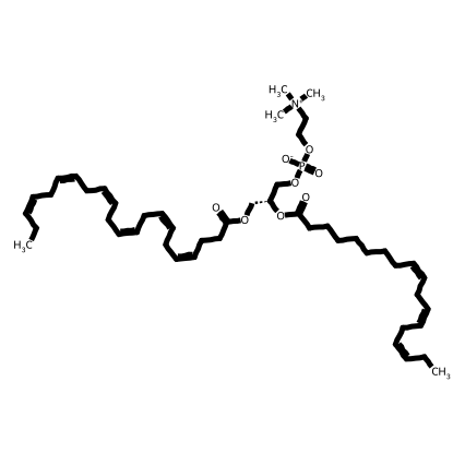 CC/C=C\C/C=C\C/C=C\C/C=C\C/C=C\C/C=C\CCC(=O)OC[C@H](COP(=O)([O-])OCC[N+](C)(C)C)OC(=O)CCCCCCC/C=C\C/C=C\C/C=C\CC